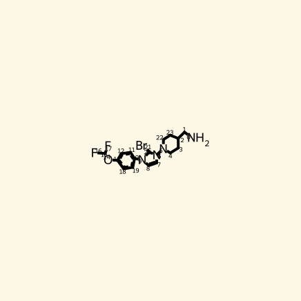 NCC1CCN(N2C=CN(c3ccc(OC(F)F)cc3)C2Br)CC1